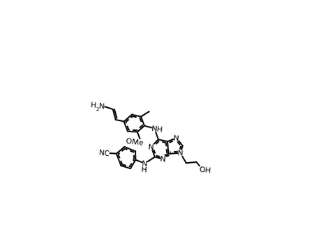 COc1cc(/C=C/N)cc(C)c1Nc1nc(Nc2ccc(C#N)cc2)nc2c1ncn2CCO